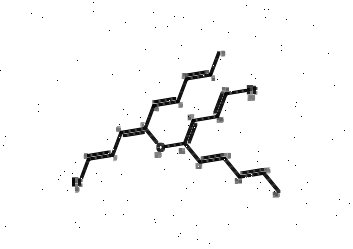 CC=CC=CC(=CC=CCC)OC(C=CC=CC)=CC=CCC